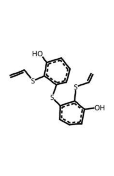 C=CSc1c(O)cccc1Sc1cccc(O)c1SC=C